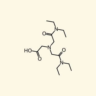 CCN(CC)C(=O)CN(CC(=O)O)CC(=O)N(CC)CC